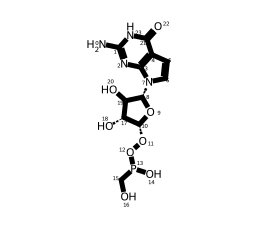 Nc1nc2c(ccn2[C@@H]2O[C@H](OOP(O)CO)[C@H](O)C2O)c(=O)[nH]1